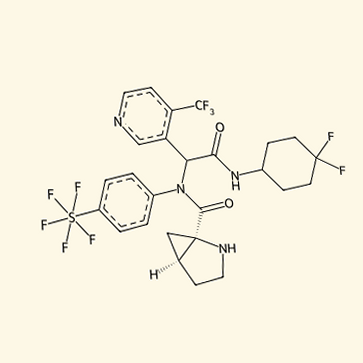 O=C(NC1CCC(F)(F)CC1)C(c1cnccc1C(F)(F)F)N(C(=O)[C@@]12C[C@@H]1CCN2)c1ccc(S(F)(F)(F)(F)F)cc1